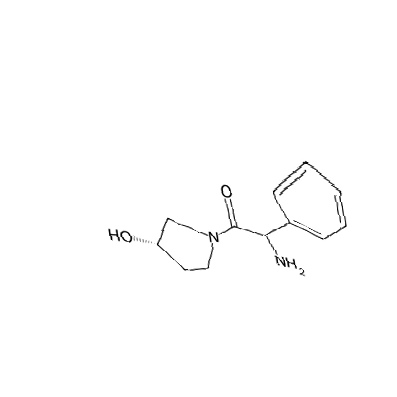 NC(C(=O)N1CC[C@H](O)C1)c1ccccc1